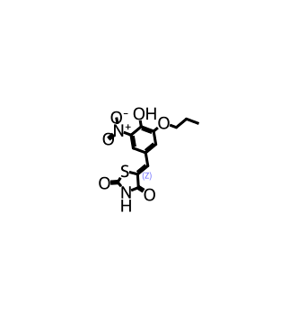 CCCOc1cc(/C=C2\SC(=O)NC2=O)cc([N+](=O)[O-])c1O